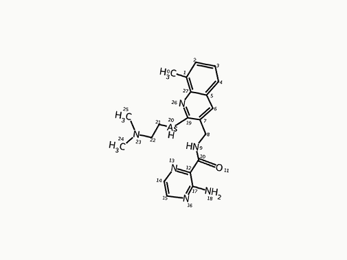 Cc1cccc2cc(CNC(=O)c3nccnc3N)c([AsH]CCN(C)C)nc12